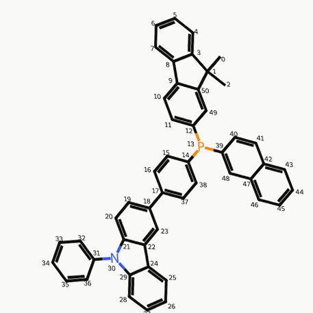 CC1(C)c2ccccc2-c2ccc(P(c3ccc(-c4ccc5c(c4)c4ccccc4n5-c4ccccc4)cc3)c3ccc4ccccc4c3)cc21